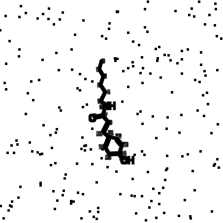 CCCCCCNC(=O)/C=C/c1ccc(O)cc1